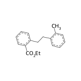 CCOC(=O)c1ccccc1CCc1ccccc1C